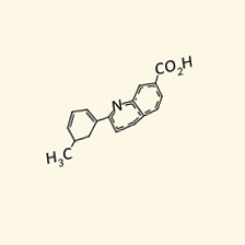 CC1C=CC=C(c2ccc3ccc(C(=O)O)cc3n2)C1